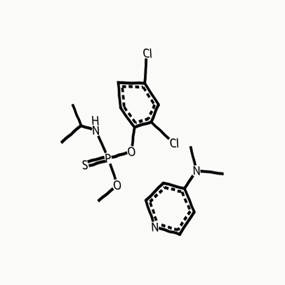 CN(C)c1ccncc1.COP(=S)(NC(C)C)Oc1ccc(Cl)cc1Cl